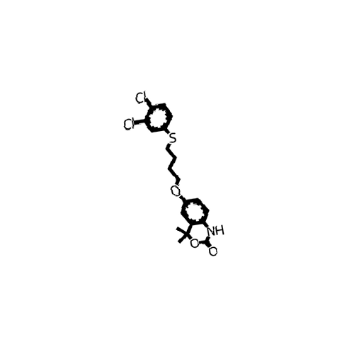 CC1(C)OC(=O)Nc2ccc(OCCCCSc3ccc(Cl)c(Cl)c3)cc21